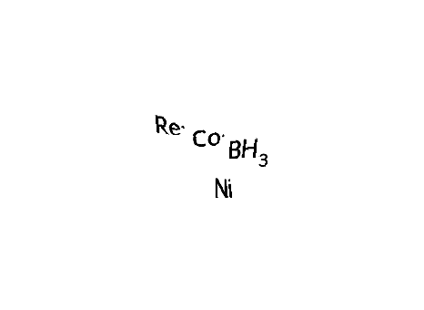 B.[Co].[Ni].[Re]